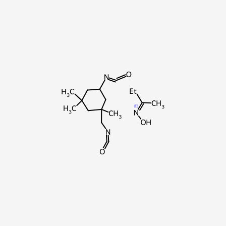 CC/C(C)=N/O.CC1(C)CC(N=C=O)CC(C)(CN=C=O)C1